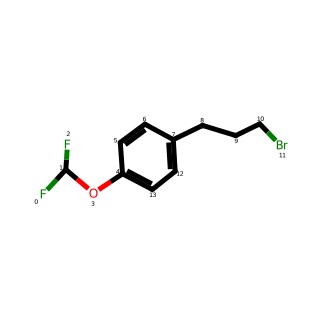 FC(F)Oc1ccc(CCCBr)cc1